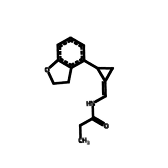 CCC(=O)NC=C1CC1c1cccc2c1CCO2